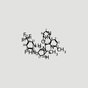 Cc1ccc(-n2nccn2)c(C(=O)N2[C@H](C)[C@H]3C[C@@H](Nc4ncc(C(F)(F)F)cc4F)[C@@H]2C3)n1